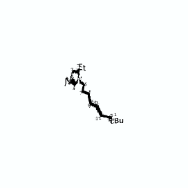 CCc1cncn1CCCCCCCC(C)(C)C